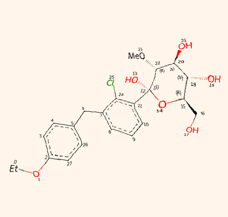 CCOc1ccc(Cc2cccc([C@]3(O)O[C@H](CO)[C@@H](O)[C@H](O)[C@H]3OC)c2Cl)cc1